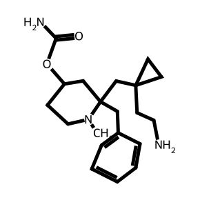 CN1CCC(OC(N)=O)CC1(Cc1ccccc1)CC1(CCN)CC1